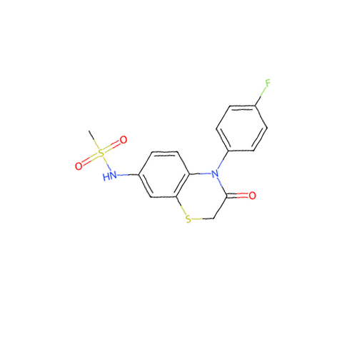 CS(=O)(=O)Nc1ccc2c(c1)SCC(=O)N2c1ccc(F)cc1